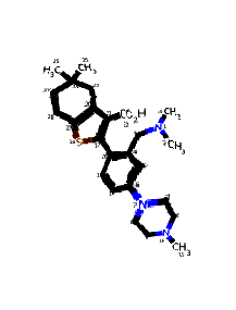 CN(C)Cc1cc(N2CCN(C)CC2)ccc1-c1sc2c(c1C(=O)O)CC(C)(C)CC2